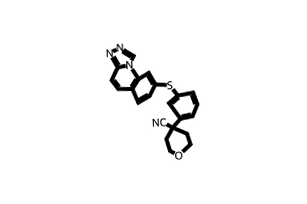 N#CC1(c2cccc(Sc3ccc4ccc5nncn5c4c3)c2)CCOCC1